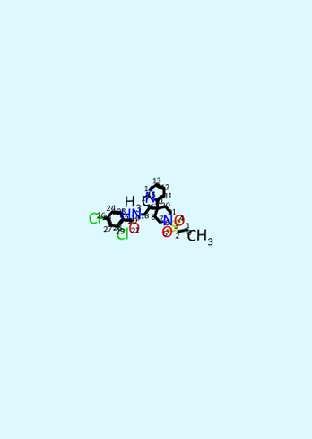 CCCS(=O)(=O)N1CCC(c2ccccn2)(C(C)CNC(=O)c2ccc(Cl)cc2Cl)CC1